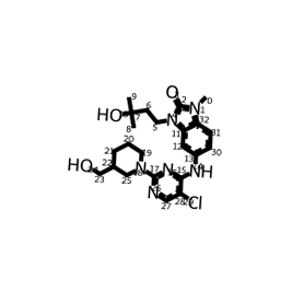 Cn1c(=O)n(CCC(C)(C)O)c2cc(Nc3nc(N4CCCC(CO)C4)ncc3Cl)ccc21